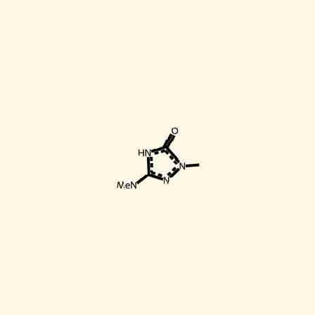 CNc1nn(C)c(=O)[nH]1